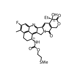 CC[C@@]1(O)C(=O)OCc2c1cc1n(c2=O)Cc2c-1nc1cc(F)c(C)c3c1c2[C@@H](NC(=O)OCCSC)CC3